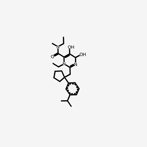 CCN(C)C(=O)C1=C(O)C(O)N=C(CC2(c3cccc(C(C)C)c3)CCCC2)N1CC